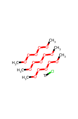 COOOOOC.COOOOOC.COOOOOC.[Cl][Ti]